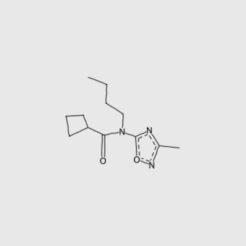 CCCCN(C(=O)C1CCC1)c1nc(C)no1